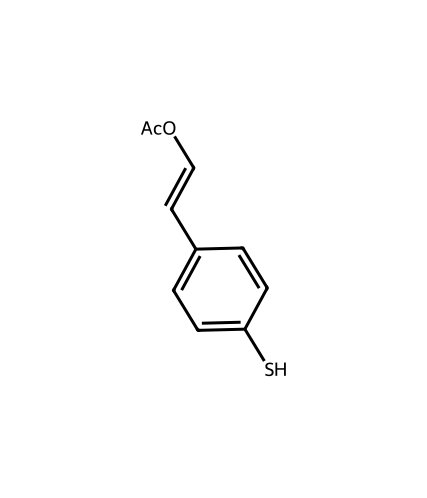 CC(=O)OC=Cc1ccc(S)cc1